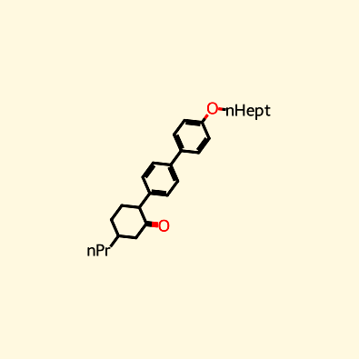 CCCCCCCOc1ccc(-c2ccc(C3CCC(CCC)CC3=O)cc2)cc1